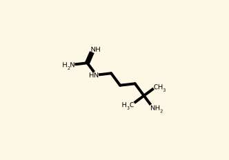 CC(C)(N)CCCNC(=N)N